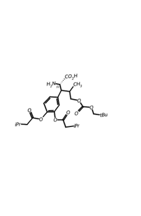 CC(C)CC(=O)Oc1ccc(C(C(C)COC(=O)OCC(C)(C)C)[C@H](N)C(=O)O)cc1OC(=O)CC(C)C